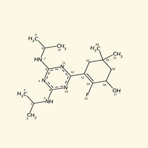 CC(C)Nc1nc(NC(C)C)nc(C2=C(F)C(O)CC(C)(C)C2)n1